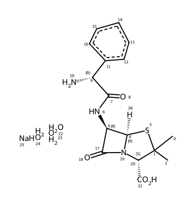 CC1(C)S[C@@H]2[C@H](NC(=O)[C@H](N)c3ccccc3)C(=O)N2[C@H]1C(=O)O.O.O.O.[NaH]